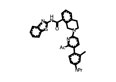 CCCc1ccc(-c2ccc(N3CCc4cccc(C(=O)Nc5nc6ccccc6s5)c4C3)nc2C(C)=O)c(C)c1